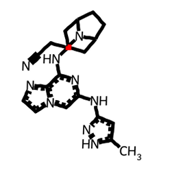 Cc1cc(Nc2cn3ccnc3c(NC3CC4CCC(C3)N4CCC#N)n2)n[nH]1